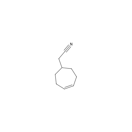 N#CCC1CCC=CCC1